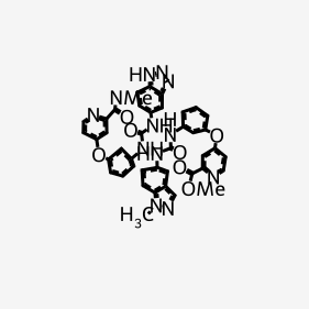 CNC(=O)c1cc(Oc2cccc(NC(=O)Nc3ccc4[nH]nnc4c3)c2)ccn1.COC(=O)c1cc(Oc2cccc(NC(=O)Nc3ccc4c(cnn4C)c3)c2)ccn1